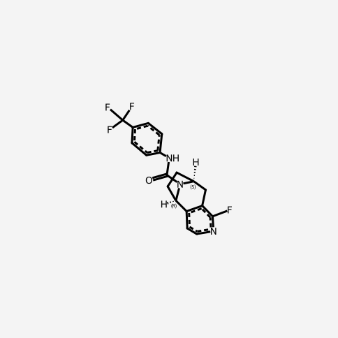 O=C(Nc1ccc(C(F)(F)F)cc1)N1[C@H]2CC[C@@H]1c1ccnc(F)c1C2